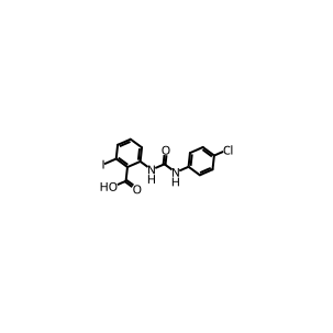 O=C(Nc1ccc(Cl)cc1)Nc1cccc(I)c1C(=O)O